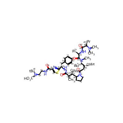 CC[C@H](C)[C@@H]([C@@H](CC(=O)N1CCCC1[C@H](OC)[C@@H](C)C(=O)N[C@@H](Cc1ccccc1)c1nc(C(=O)NCCN(C(=O)O)C(C)(C)C)cs1)OC)N(C)C(=O)C(NC(=O)C(C(C)C)N(C)C)C(C)C